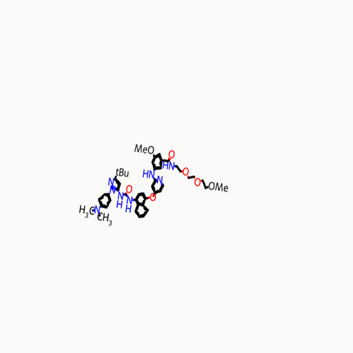 COCCOCCOCCNC(=O)c1cc(Nc2cc(Oc3ccc(NC(=O)Nc4cc(C(C)(C)C)nn4-c4ccc(N(C)C)cc4)c4ccccc34)ccn2)cc(OC)c1